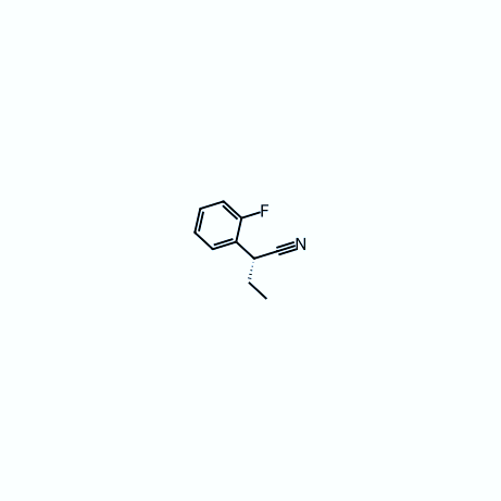 CC[C@@H](C#N)c1ccccc1F